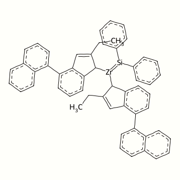 CCC1=Cc2c(-c3cccc4ccccc34)cccc2[CH]1[Zr]([CH]1C(CC)=Cc2c(-c3cccc4ccccc34)cccc21)=[Si](c1ccccc1)c1ccccc1